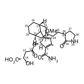 CO[C@@]1(C2=CC=C(C(N)=O)[SH]2OC(=O)C[C@H](O)C(=O)O)[C@@H]2CCC[C@H]1CN(CCN1CCNC1=O)C2